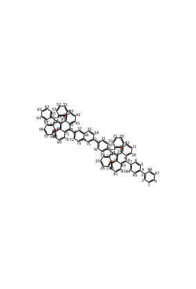 c1ccc(-c2ccc(-c3c4ccccc4c([Si](c4ccccc4)(c4ccccc4)c4ccc(-c5ccc6cc(-c7c8ccccc8c([Si](c8ccccc8)(c8ccccc8)c8ccccc8)c8ccccc78)ccc6c5)cc4)c4ccccc34)cc2)cc1